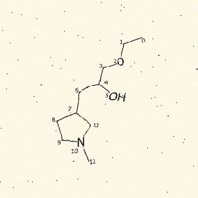 CCOCC(O)CC1CCN(C)C1